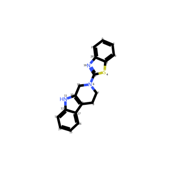 c1ccc2sc(N3CCc4c([nH]c5ccccc45)C3)nc2c1